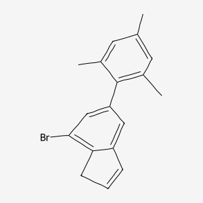 Cc1cc(C)c(-c2cc(Br)c3c(c2)C=CC3)c(C)c1